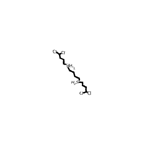 ClC(Cl)CCC[SiH2]CCCC[SiH2]CCCC(Cl)Cl